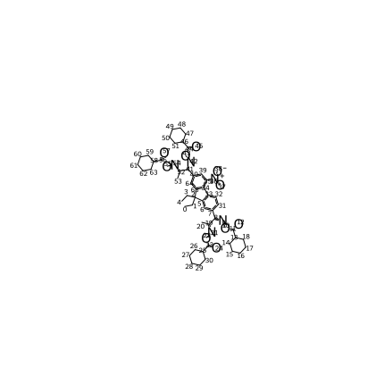 CCC1(CC)c2cc(C(=N/OC(=O)C3CCCCC3)/C(C)=N/OC(=O)C3CCCCC3)ccc2-c2c([N+](=O)[O-])cc(C(=N/OC(=O)C3CCCCC3)/C(C)=N/OC(=O)C3CCCCC3)cc21